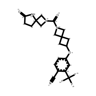 N#Cc1ccc(OC2CC3(C2)CN(C(=O)N2CC4(CCC(=O)N4)C2)C3)cc1C(F)(F)F